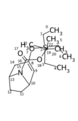 CC[Si](CC)(CC)OC1=CC2CCC(C1)N2C(=O)OC(C)(C)C